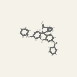 O=C1OC2(c3ccc(Nc4ccccc4)cc3Oc3cc(Nc4ccccc4)ccc32)c2ccccc21